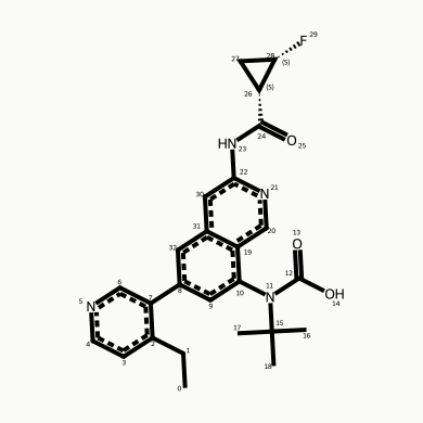 CCc1ccncc1-c1cc(N(C(=O)O)C(C)(C)C)c2cnc(NC(=O)[C@@H]3C[C@@H]3F)cc2c1